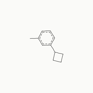 Cc1cccc([C]2CCC2)c1